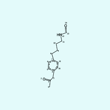 CC(=O)Cc1ccc(CCCCNC=O)cc1